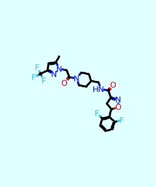 Cc1cc(C(F)(F)F)nn1CC(=O)N1CCC(CNC(=O)C2=NOC(c3c(F)cccc3F)C2)CC1